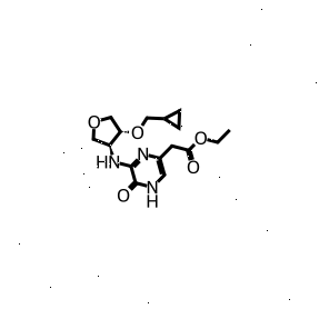 CCOC(=O)Cc1c[nH]c(=O)c(N[C@H]2COC[C@@H]2OCC2CC2)n1